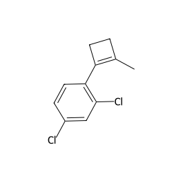 CC1=C(c2ccc(Cl)cc2Cl)CC1